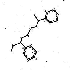 CCC(CCOCC(C)c1ccccc1)c1ccccc1